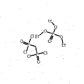 CCOP(=O)(OCC)OCC.O=P(Cl)(Cl)CP(=O)(Cl)Cl